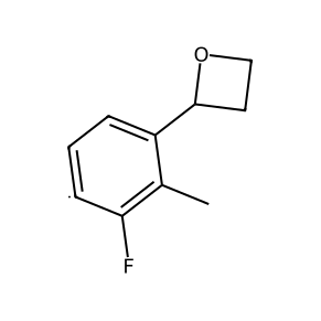 Cc1c(F)[c]ccc1C1CCO1